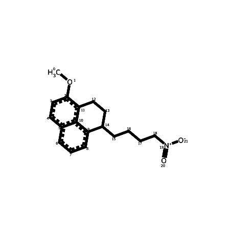 COc1ccc2cccc3c2c1CCC3CCCC[N+](=O)[O-]